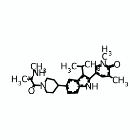 CN[C@H](C)C(=O)N1CCC(c2ccc3[nH]c(-c4cc(C)c(=O)n(C)c4)c(C(C)C)c3c2)CC1